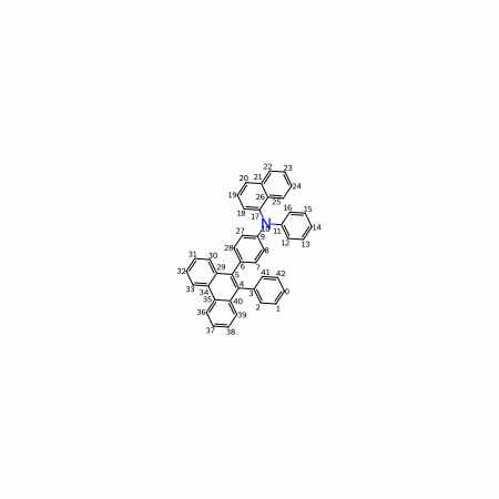 c1ccc(-c2c(-c3ccc(N(c4ccccc4)c4cccc5ccccc45)cc3)c3ccccc3c3ccccc23)cc1